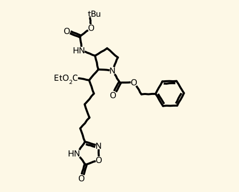 CCOC(=O)C(CCCCc1noc(=O)[nH]1)C1C(NC(=O)OC(C)(C)C)CCN1C(=O)OCc1ccccc1